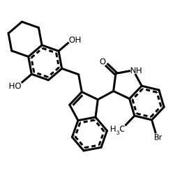 Cc1c(Br)ccc2c1C(C1C(Cc3cc(O)c4c(c3O)CCCC4)=Cc3ccccc31)C(=O)N2